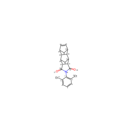 CCc1cccc(CC)c1N1C(=O)C2C3CC(C2C1=O)C1C2C=CC(C2)C31